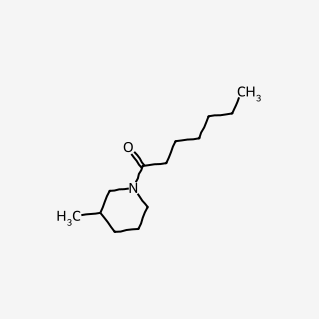 CCCCCCC(=O)N1CCCC(C)C1